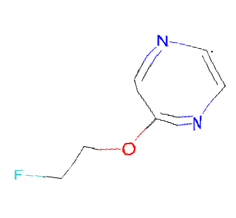 FCCOc1cn[c]cn1